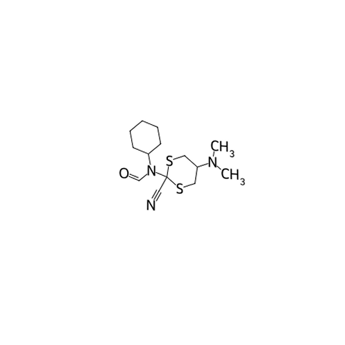 CN(C)C1CSC(C#N)(N(C=O)C2CCCCC2)SC1